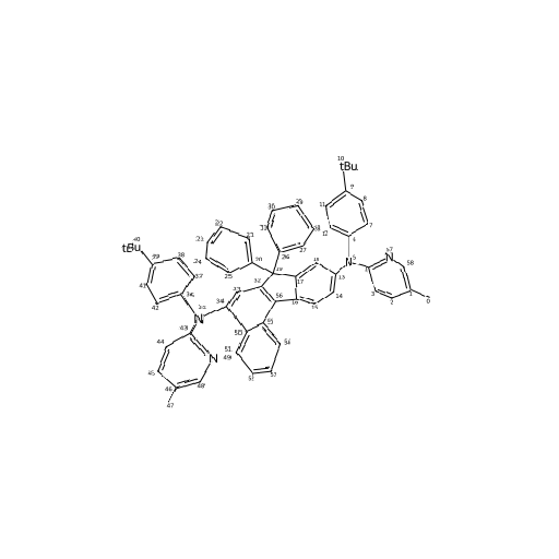 Cc1ccc(N(c2ccc(C(C)(C)C)cc2)c2ccc3c(c2)C(c2ccccc2)(c2ccccc2)c2cc(N(c4ccc(C(C)(C)C)cc4)c4ccc(C)cn4)c4ccccc4c2-3)nc1